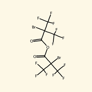 O=C(OC(=O)C(Br)(C(F)(F)F)C(F)(F)F)C(Br)(C(F)(F)F)C(F)(F)F